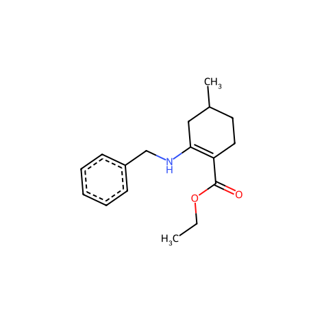 CCOC(=O)C1=C(NCc2ccccc2)CC(C)CC1